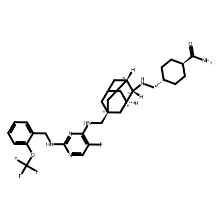 NC(=O)[C@H]1CC[C@H](CN[C@@H]2[C@@H]3CC4C[C@H]2C[C@@](CNc2nc(NCc5ccccc5OC(F)(F)F)ncc2F)(C4)C3)CC1